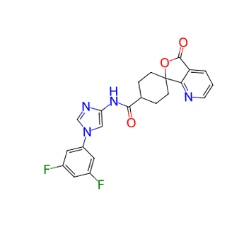 O=C1OC2(CCC(C(=O)Nc3cn(-c4cc(F)cc(F)c4)cn3)CC2)c2ncccc21